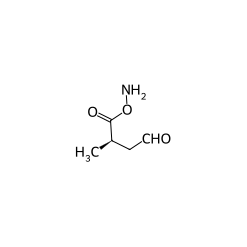 C[C@H](CC=O)C(=O)ON